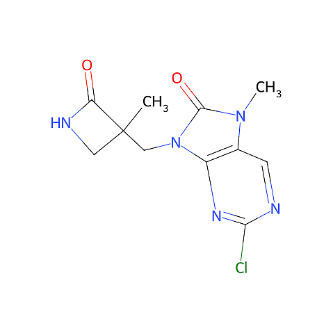 Cn1c(=O)n(CC2(C)CNC2=O)c2nc(Cl)ncc21